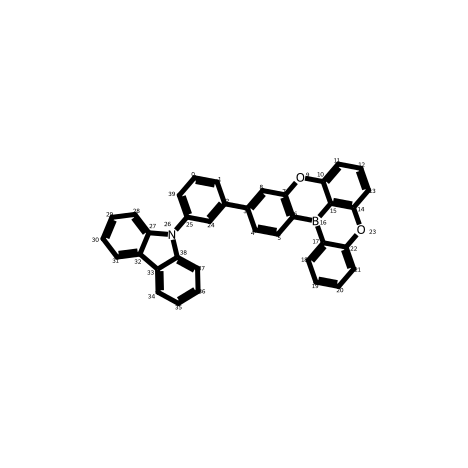 c1cc(-c2ccc3c(c2)Oc2cccc4c2B3c2ccccc2O4)cc(-n2c3ccccc3c3ccccc32)c1